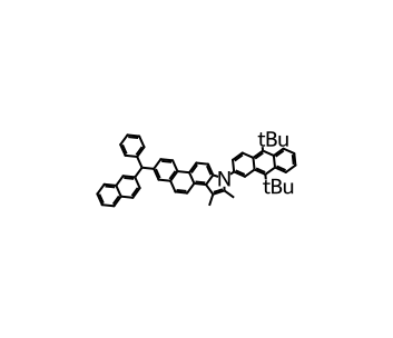 Cc1c(C)n(-c2ccc3c(C(C)(C)C)c4ccccc4c(C(C)(C)C)c3c2)c2ccc3c4ccc(C(c5ccccc5)c5ccc6ccccc6c5)cc4ccc3c12